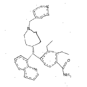 CCc1c(C(N)=O)ccc(C(=C2CCN(Cc3ccncc3)CC2)c2cccc3cccnc23)c1CC